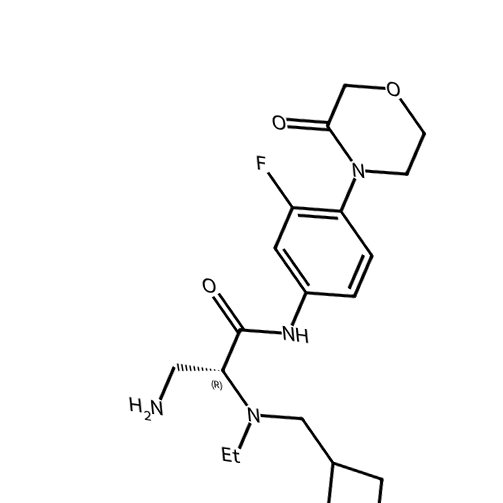 CCN(CC1CCC1)[C@H](CN)C(=O)Nc1ccc(N2CCOCC2=O)c(F)c1